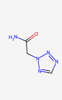 NC(=O)Cn1n[c]nn1